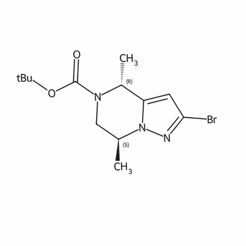 C[C@@H]1c2cc(Br)nn2[C@@H](C)CN1C(=O)OC(C)(C)C